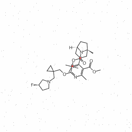 COC(=O)c1c(C)nc(OCC2(CN3CC[C@@H](F)C3)CC2)nc1N1C[C@H]2CC[C@](C)(C1)N2C(=O)OC(C)(C)C